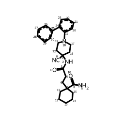 N#CC1(NC(=O)[CH]CC2(C(N)=O)CCCCC2)CCN(c2ccccc2-c2ccccc2)CC1